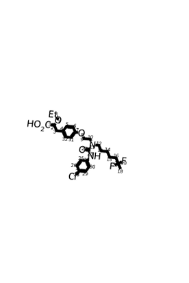 CCOC(Cc1ccc(OCCN(CCCCCC(C)(F)F)C(=O)Nc2ccc(Cl)cc2)cc1)C(=O)O